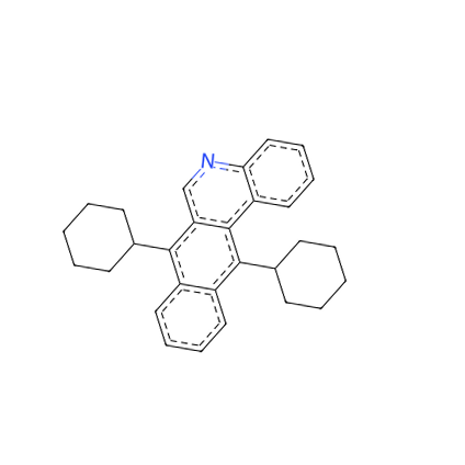 c1ccc2c(c1)ncc1c(C3CCCCC3)c3ccccc3c(C3CCCCC3)c12